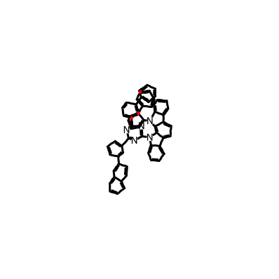 c1ccc(-c2cccc(-c3nc(-c4cccc(-c5ccc6ccccc6c5)c4)nc(-n4c5ccccc5c5ccc6c7ccccc7n(-c7ccccc7-c7ccccc7)c6c54)n3)c2)cc1